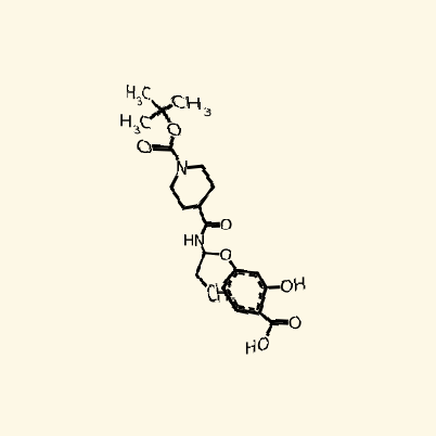 CCC(NC(=O)C1CCN(C(=O)OC(C)(C)C)CC1)Oc1ccc(C(=O)O)c(O)c1